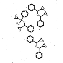 CC(OC(c1ccccc1)C1CO1)(c1ccccc1)C1CO1.c1ccc(C(OC(c2ccccc2)C2CO2)C2CO2)cc1.c1ccc(C(OC(c2ccccc2)C2CO2)C2CO2)cc1